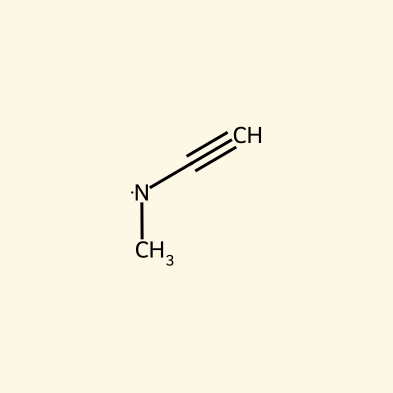 C#C[N]C